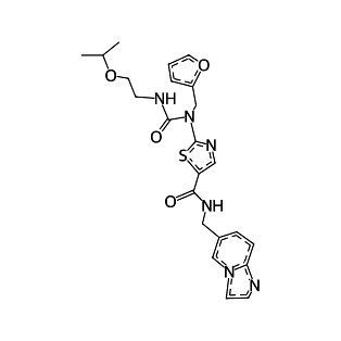 CC(C)OCCNC(=O)N(Cc1ccco1)c1ncc(C(=O)NCc2ccc3nccn3c2)s1